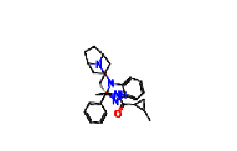 Cc1nc2ccccc2n1C1CC2CCC(C1)N2CC[C@H](NC(=O)C1CC1C)c1ccccc1